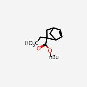 CCCCOC(=O)C1(CC(=O)O)CC2C=CC1C2